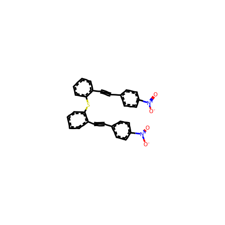 O=[N+]([O-])c1ccc(C#Cc2ccccc2Sc2ccccc2C#Cc2ccc([N+](=O)[O-])cc2)cc1